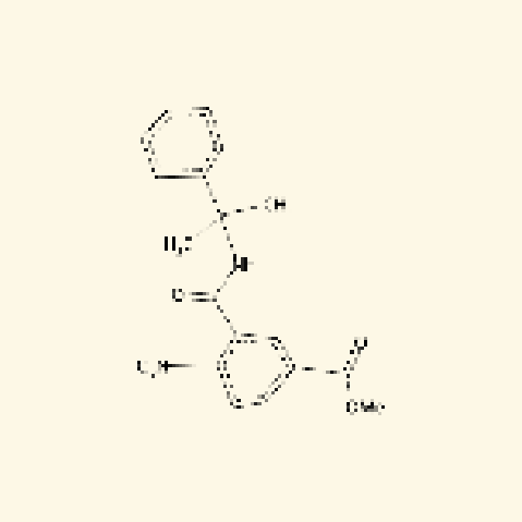 COC(=O)c1ccc([N+](=O)[O-])c(C(=O)NC(C)(C)c2ccccc2)c1